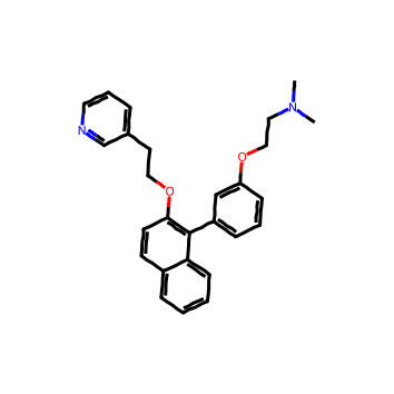 CN(C)CCOc1cccc(-c2c(OCCc3cccnc3)ccc3ccccc23)c1